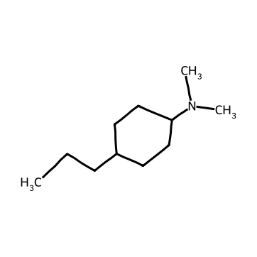 CCCC1CCC(N(C)C)CC1